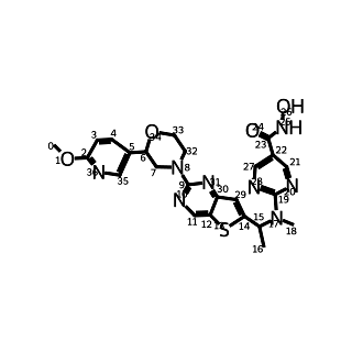 COc1ccc(C2CN(c3ncc4sc(C(C)N(C)c5ncc(C(=O)NO)cn5)cc4n3)CCO2)cn1